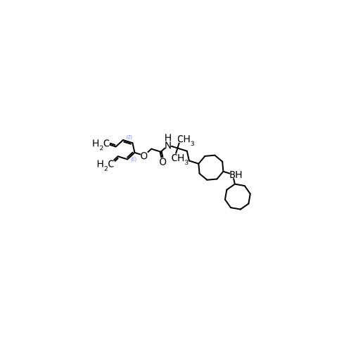 C=C/C=C\C(=C/C=C)OCC(=O)NC(C)(C)CCC1CCCC(BC2CCCCCCC2)CCC1